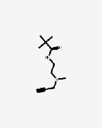 C#CCN(C)CCNC(=O)C(C)(C)C